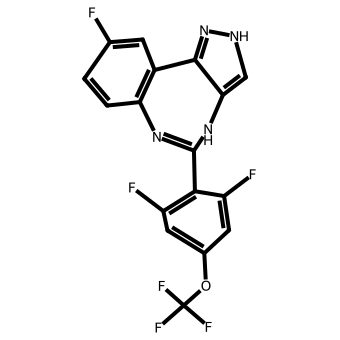 Fc1ccc2c(c1)-c1n[nH]cc1NC(c1c(F)cc(OC(F)(F)F)cc1F)=N2